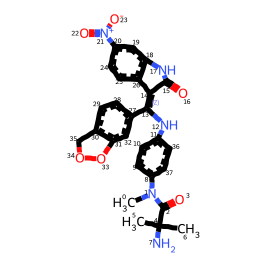 CN(C(=O)C(C)(C)N)c1ccc(N/C(=C2\C(=O)Nc3cc([N+](=O)[O-])ccc32)c2ccc3c(c2)OOC3)cc1